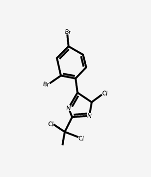 CC(Cl)(Cl)C1=NC(Cl)C(c2ccc(Br)cc2Br)=N1